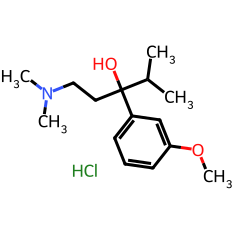 COc1cccc(C(O)(CCN(C)C)C(C)C)c1.Cl